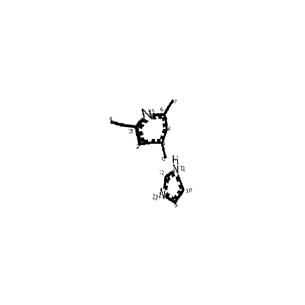 Cc1cc(C)nc(C)c1.c1c[nH]cn1